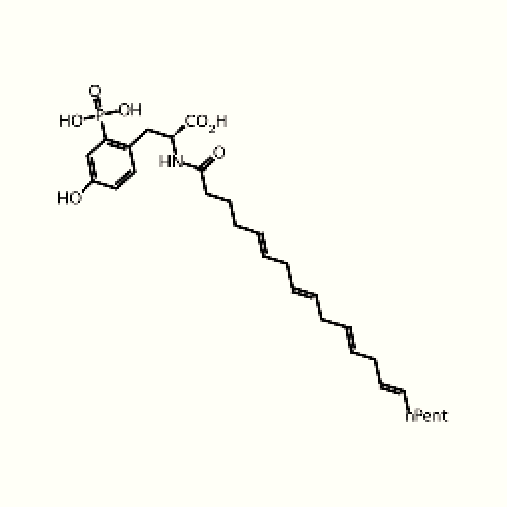 CCCCCC=CCC=CCC=CCC=CCCCC(=O)N[C@@H](Cc1ccc(O)cc1P(=O)(O)O)C(=O)O